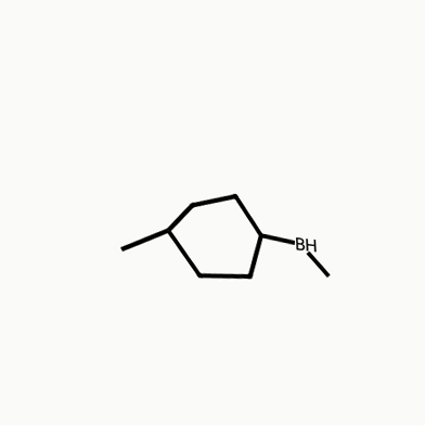 CBC1CCC(C)CC1